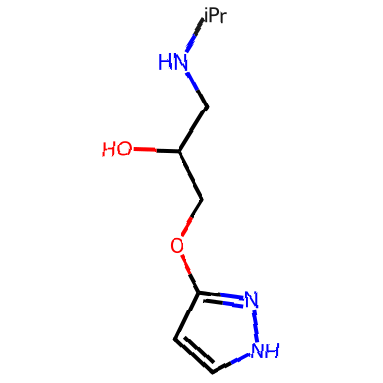 CC(C)NCC(O)COc1cc[nH]n1